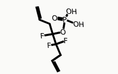 C=CCC(F)(F)C(F)(CC=C)OP(=O)(O)O